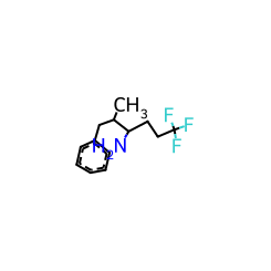 CC(Cc1ccccc1)C(N)CCC(F)(F)F